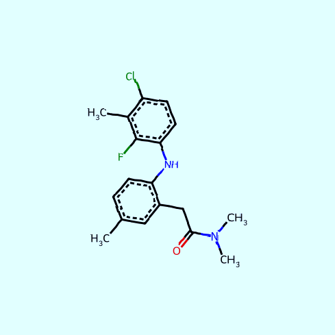 Cc1ccc(Nc2ccc(Cl)c(C)c2F)c(CC(=O)N(C)C)c1